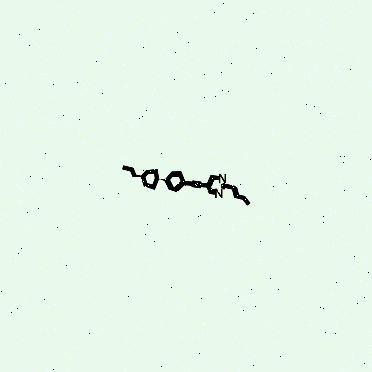 CC/C=C/c1ncc(C#Cc2ccc([C@H]3CC[C@H](CCC)CC3)cc2)cn1